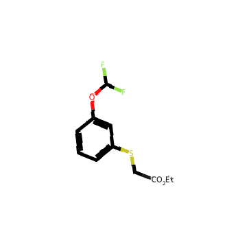 CCOC(=O)CSc1cccc(OC(F)F)c1